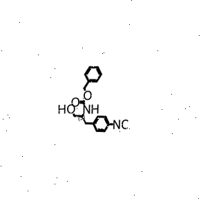 [C-]#[N+]c1ccc(C[C@@H](CO)NC(=O)OCc2ccccc2)cc1